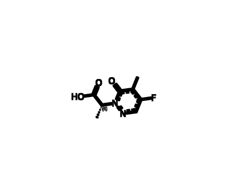 Cc1c(F)cnn([C@H](C)C(=O)O)c1=O